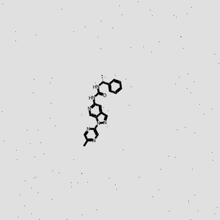 Cc1cnc(-n2ncc3cc(NC(=O)N[C@H](C)c4ccccc4)ncc32)cn1